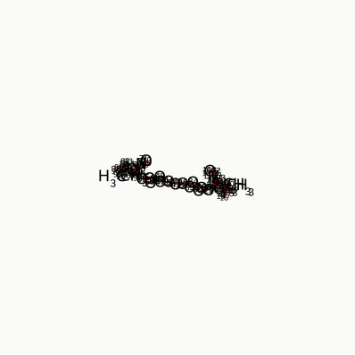 CC1(C)C2=C(CCC=C2)c2c1c1c(c3ccccc23)OC(c2ccc(OCCOC(=O)CCC(=O)OCCOCCOCCOCCOC(=O)CCC(=O)OCCOc3ccc(C4(c5ccc(N6CCOCC6)cc5)C=Cc5c6c(c7ccccc7c5O4)-c4ccccc4C6(C)C)cc3)cc2)(c2ccc(N3CCOCC3)cc2)C=C1